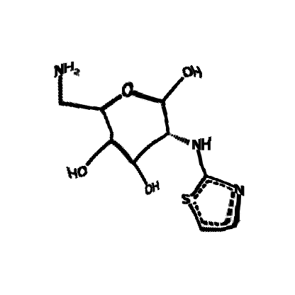 NCC1OC(O)[C@H](Nc2nccs2)C(O)C1O